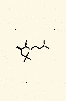 C=C(CC(C)(C)C)C(=O)OCCN(C)C